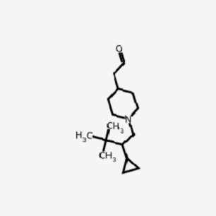 CC(C)(C)C(CN1CCC(CC=O)CC1)C1CC1